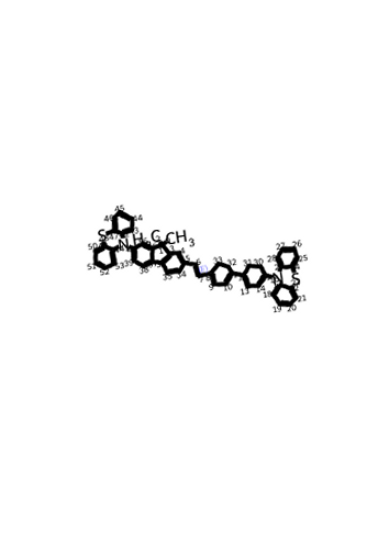 CC1(C)c2cc(/C=C/C3=CC=C(C4=CC=C(N5c6ccccc6Sc6ccccc65)CC4)CC3)ccc2-c2ccc(N3c4ccccc4Sc4ccccc43)cc21